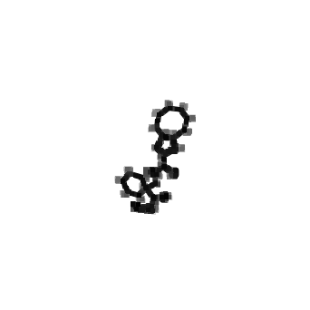 COC(=O)C1(CNC(=O)c2cc3c(s2)CCCCCC3)CCCCC1